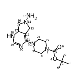 CC(C)(C)OC(=O)N1CCN(C2=C3CN(N)SC3NC=N2)CC1